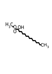 CCCCCCCCCCCCCCC(O)C(=O)OCC